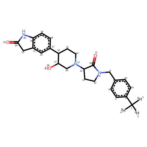 [2H]C([2H])([2H])c1ccc(CN2CCC(N3CCC(c4ccc5c(c4)CC(=O)N5)C(O)C3)C2=O)cc1